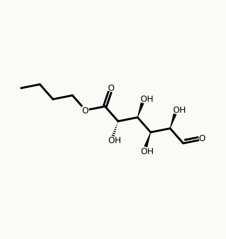 CCCCOC(=O)[C@@H](O)[C@@H](O)[C@H](O)[C@@H](O)C=O